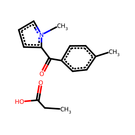 CCC(=O)O.Cc1ccc(C(=O)c2cccn2C)cc1